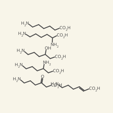 NCCCC(=O)CC(=O)O.NCCCC(N)CC(=O)O.NCCCC(O)CC(=O)O.NCCCC=CC(=O)O.NCCCCC(N)C(=O)O.NCCCCCC(=O)O